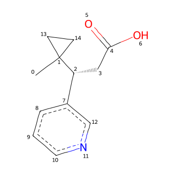 CC1([C@H](CC(=O)O)c2cccnc2)CC1